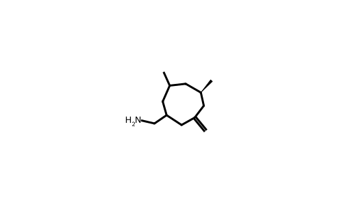 C=C1CC(CN)CC(C)C[C@@H](C)C1